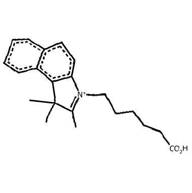 CC1=[N+](CCCCCC(=O)O)c2ccc3ccccc3c2C1(C)C